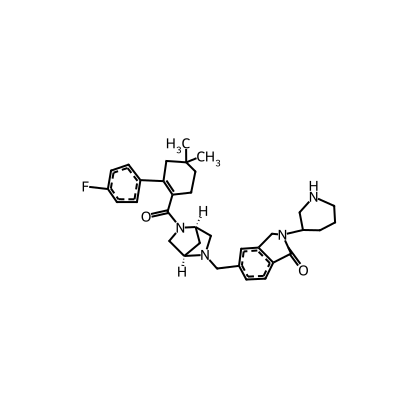 CC1(C)CCC(C(=O)N2C[C@H]3C[C@@H]2CN3Cc2ccc3c(c2)CN(C2CCCNC2)C3=O)=C(c2ccc(F)cc2)C1